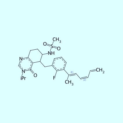 C=C/C=C\C=C(/C)c1cccc(CC2c3c(ncn(C(C)C)c3=O)CCC2NS(C)(=O)=O)c1F